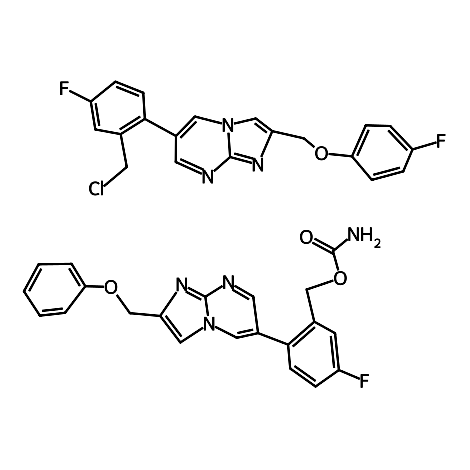 Fc1ccc(OCc2cn3cc(-c4ccc(F)cc4CCl)cnc3n2)cc1.NC(=O)OCc1cc(F)ccc1-c1cnc2nc(COc3ccccc3)cn2c1